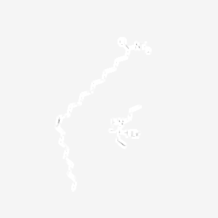 Br.C=CC(C)(C)NCCC.CCCCCCCC/C=C\CCCCCCCCCCCC(N)=O